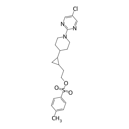 Cc1ccc(S(=O)(=O)OCCC2CC2C2CCN(c3ncc(Cl)cn3)CC2)cc1